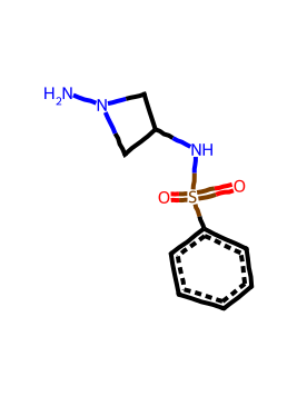 NN1CC(NS(=O)(=O)c2ccccc2)C1